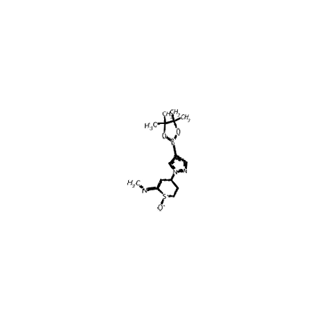 CN=C1CC(n2cc(B3OC(C)(C)C(C)(C)O3)cn2)CC[S+]1[O-]